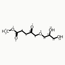 COC(=O)CCC(=O)COCC(O)CO